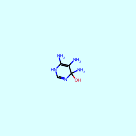 NC1=C(N)C(N)(O)N=CN1